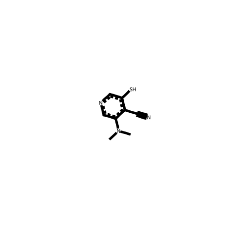 CN(C)c1cncc(S)c1C#N